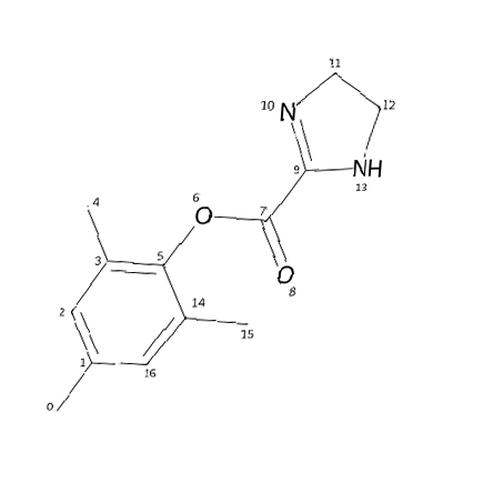 Cc1cc(C)c(OC(=O)C2=NCCN2)c(C)c1